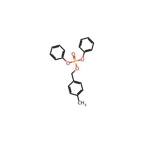 Cc1ccc(COP(=O)(Oc2ccccc2)Oc2ccccc2)cc1